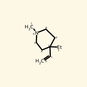 C=CC1(CC)CCN(C)CC1